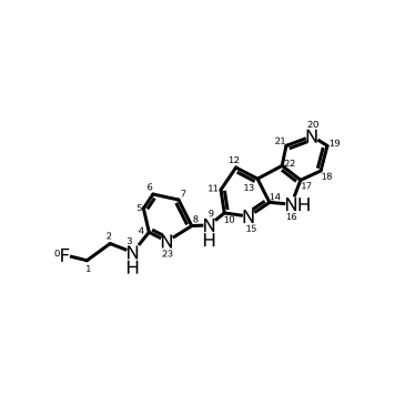 FCCNc1cccc(Nc2ccc3c(n2)[nH]c2ccncc23)n1